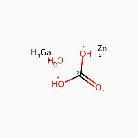 O.O=C(O)O.[GaH3].[Zn]